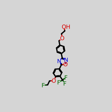 OCCOCc1ccc(-c2noc(-c3ccc(OCCF)c(C(F)(F)F)c3)n2)cc1